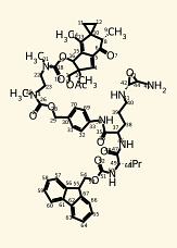 CC(=O)OCC1(C)C=C2C(=O)[C@@H](C)C3(CC3)C(C)=C2C1OC(=O)N(C)CCN(C)C(=O)OCc1ccc(NC(=O)C(CCCN[C@@H]2OC2N)NC(=O)[C@@H](NC(=O)OCC2c3ccccc3-c3ccccc32)C(C)C)cc1